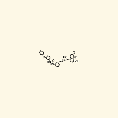 O=C(Nc1cccc(CCNCC(O)c2ccc(O)c3[nH]c(=O)ccc23)c1)Nc1cccc(Oc2ccccc2)c1